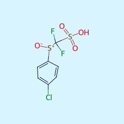 O=S(=O)(O)C(F)(F)[S+]([O-])c1ccc(Cl)cc1